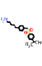 CC(C)c1ccc(S(=O)(=O)Cc2ccc(CCCCCN)cc2)cc1